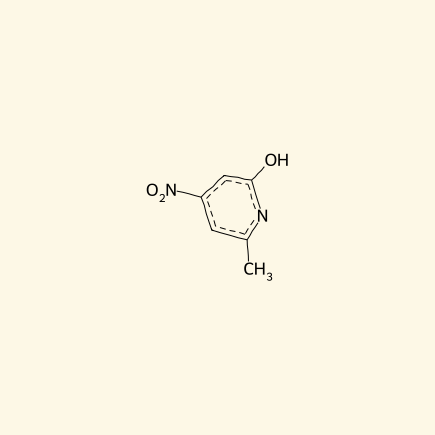 Cc1cc([N+](=O)[O-])cc(O)n1